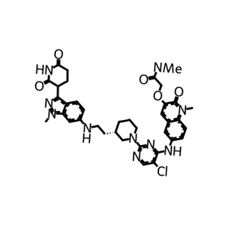 CNC(=O)COc1cc2cc(Nc3nc(N4CCC[C@@H](CCNc5ccc6c(C7CCC(=O)NC7=O)nn(C)c6c5)C4)ncc3Cl)ccc2n(C)c1=O